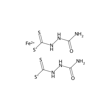 NC(=O)NNC(=S)[S-].NC(=O)NNC(=S)[S-].[Fe+2]